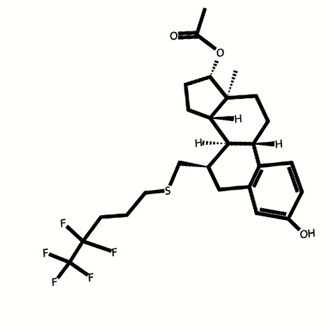 CC(=O)O[C@H]1CC[C@H]2[C@@H]3[C@H](CSCCCC(F)(F)C(F)(F)F)Cc4cc(O)ccc4[C@H]3CC[C@]12C